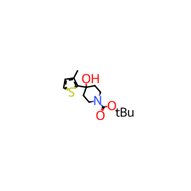 Cc1ccsc1C1(O)CCN(C(=O)OC(C)(C)C)CC1